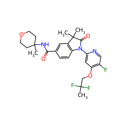 CC(F)(F)COc1cc(N2C(=O)C(C)(C)c3cc(C(=O)NC4(C)CCOCC4)ccc32)ncc1F